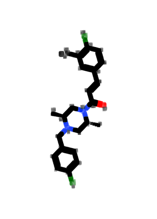 C[C@@H]1CN(Cc2ccc(Cl)cc2)[C@@H](C)CN1C(=O)/C=C/c1ccc(Cl)c([N+](=O)[O-])c1